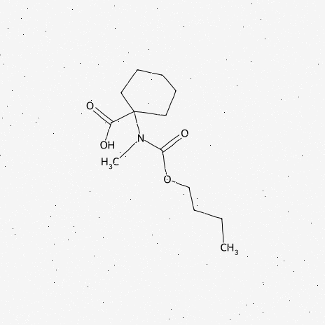 CCCCOC(=O)N(C)C1(C(=O)O)CCCCC1